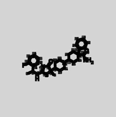 CC(NC1=NC(=O)C(C)(C2CCN(C3CCC(C(N)=O)(c4ccccc4)CC3)CC2)S1)c1ccccc1F